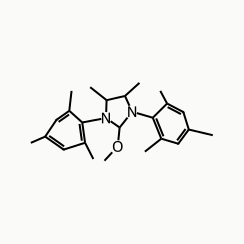 COC1N(c2c(C)cc(C)cc2C)C(C)C(C)N1c1c(C)cc(C)cc1C